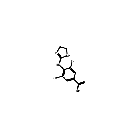 NC(=O)c1cc(Cl)c(NC2=NCCN2)c(Br)c1